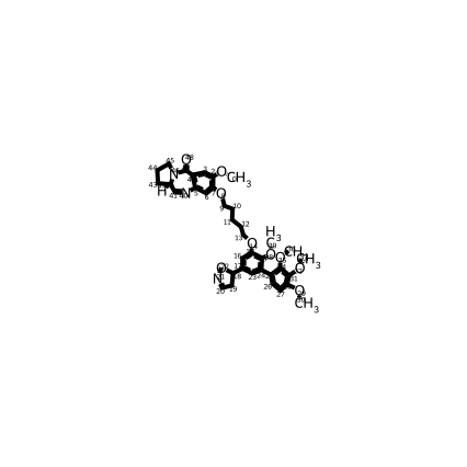 COc1cc2c(cc1OCCCCCOc1cc(C3CC=NO3)cc(-c3ccc(OC)c(OC)c3OC)c1OC)N=C[C@@H]1CCCN1C2=O